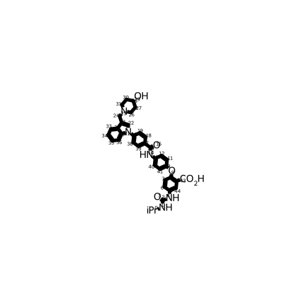 CC(C)NC(=O)Nc1ccc(Oc2ccc(NC(=O)c3ccc(-n4cc(CN5CCC(O)CC5)c5ccccc54)cc3)cc2)c(C(=O)O)c1